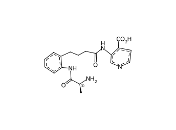 C[C@H](N)C(=O)Nc1ccccc1CCCC(=O)Nc1cnccc1C(=O)O